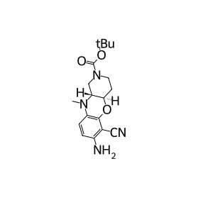 CN1c2ccc(N)c(C#N)c2O[C@@H]2CCN(C(=O)OC(C)(C)C)C[C@H]21